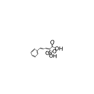 O=C(O)C(=CC=Cc1ccccc1)S(=O)(=O)O